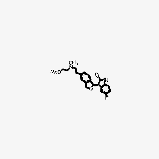 COCCN(C)CCc1ccc2c(c1)CO/C2=C1/C(=O)Nc2ccc(F)cc21